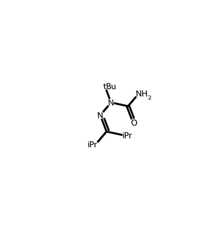 CC(C)C(=NN(C(N)=O)C(C)(C)C)C(C)C